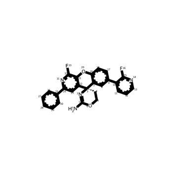 NC1=N[C@]2(CCO1)c1cc(-c3cccnc3F)ccc1Oc1c2cc(-c2ccccc2)nc1F